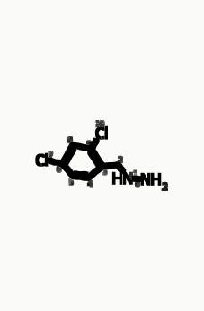 NNCc1ccc(Cl)cc1Cl